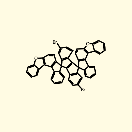 Brc1ccc2c(c1)C1(C3=C2C2(c4cc(Br)ccc43)c3ccccc3-c3c2ccc2oc4ccccc4c32)c2ccccc2-c2c1ccc1oc3ccccc3c21